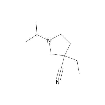 CCC1(C#N)CCN(C(C)C)C1